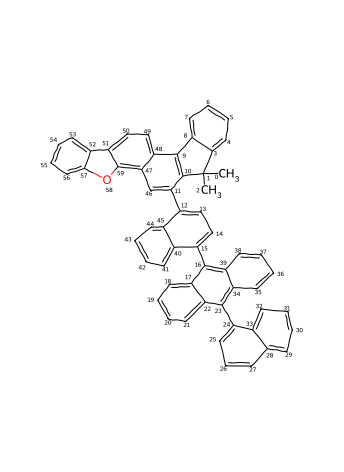 CC1(C)c2ccccc2-c2c1c(-c1ccc(-c3c4ccccc4c(-c4cccc5ccccc45)c4ccccc34)c3ccccc13)cc1c2ccc2c3ccccc3oc12